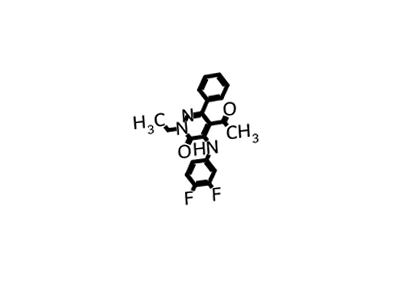 CCn1nc(-c2ccccc2)c(C(C)=O)c(Nc2ccc(F)c(F)c2)c1=O